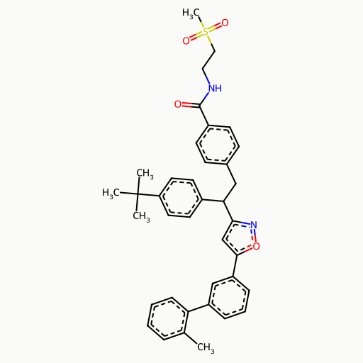 Cc1ccccc1-c1cccc(-c2cc(C(Cc3ccc(C(=O)NCCS(C)(=O)=O)cc3)c3ccc(C(C)(C)C)cc3)no2)c1